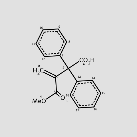 C=C(C(=O)OC)C(C(=O)O)(c1ccccc1)c1ccccc1